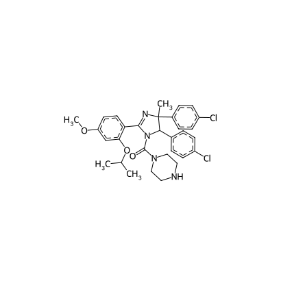 COc1ccc(C2=NC(C)(c3ccc(Cl)cc3)C(c3ccc(Cl)cc3)N2C(=O)N2CCNCC2)c(OC(C)C)c1